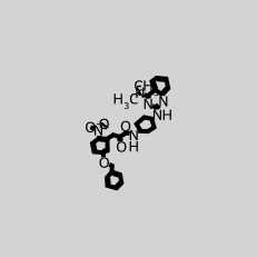 CN(C)c1nc(N[C@H]2CC[C@@H](NC(=O)C(=O)Cc3cc(OCc4ccccc4)ccc3[N+](=O)[O-])CC2)nc2ccccc12